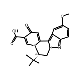 COc1ccc2nn3c(c2c1)-c1cc(=O)c(C(=O)O)cn1[C@@H](C(C)(C)C)C3